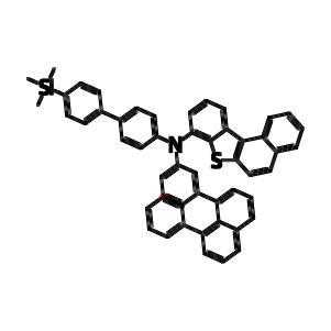 C[Si](C)(C)c1ccc(-c2ccc(N(c3cccc(-c4cccc5cccc(-c6ccccc6)c45)c3)c3cccc4c3sc3ccc5ccccc5c34)cc2)cc1